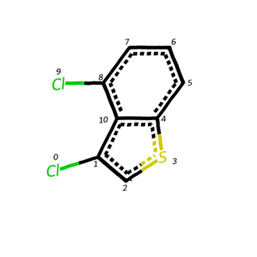 Clc1[c]sc2cccc(Cl)c12